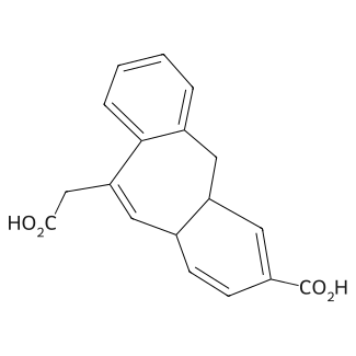 O=C(O)CC1=CC2C=CC(C(=O)O)=CC2Cc2ccccc21